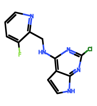 Fc1cccnc1CNc1nc(Cl)nc2[nH]ccc12